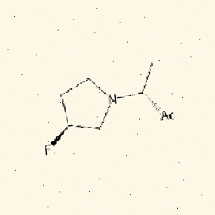 CC(=O)[C@@H](C)N1CC[C@H](F)C1